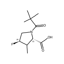 CC1[C@@H](C(=O)O)N(C(=O)C(C)(C)C)C[C@@H]1F